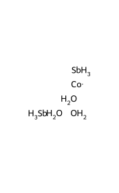 O.O.O.[Co].[SbH3].[SbH3]